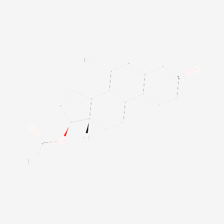 CC(=O)O[C@H]1CCC2C3C(CC[C@@]21C)C1CCC(=O)CC1=C[C@H]3C